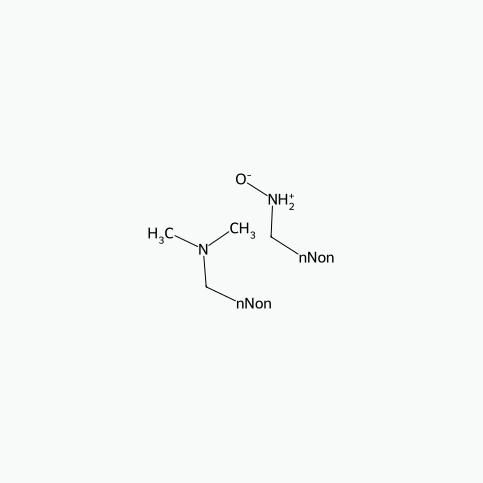 CCCCCCCCCCN(C)C.CCCCCCCCCC[NH2+][O-]